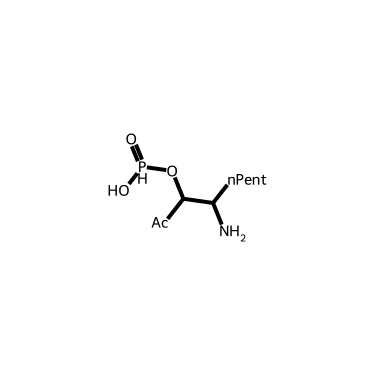 CCCCCC(N)C(O[PH](=O)O)C(C)=O